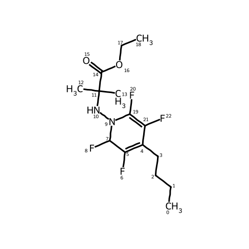 CCCCC1=C(F)C(F)N(NC(C)(C)C(=O)OCC)C(F)=C1F